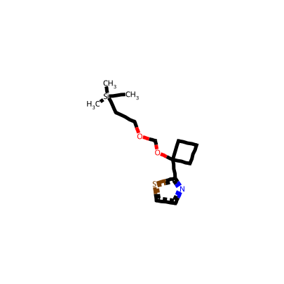 C[Si](C)(C)CCOCOC1(c2nccs2)CCC1